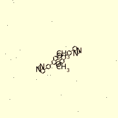 COc1ccc2cc(-c3ccc(-c4cccc5nccnc45)cc3)ccc2c1-c1c(OC)ccc2cc(-c3ccc(-c4cccc5nccnc45)cc3)ccc12